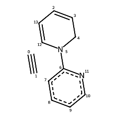 C#C.C1=CCN(c2ccccn2)C=C1